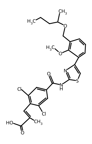 CCCC(C)OCc1cccc(-c2csc(NC(=O)c3cc(Cl)c(/C=C(\C)C(=O)O)c(Cl)c3)n2)c1OC